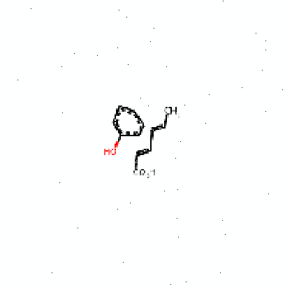 CC=CC=CC(=O)O.Oc1ccccc1